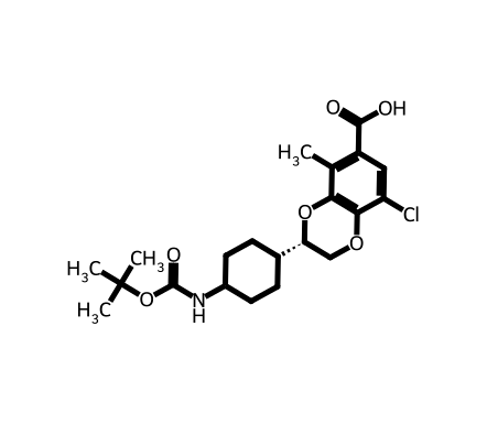 Cc1c(C(=O)O)cc(Cl)c2c1O[C@@H](C1CCC(NC(=O)OC(C)(C)C)CC1)CO2